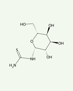 NC(=S)N[C@@H]1O[C@H](CO)[C@@H](O)[C@@H](O)[C@@H]1O